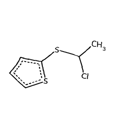 CC(Cl)Sc1cccs1